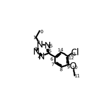 CCn1nnc(-c2ccc(OC)c(Cl)c2)n1